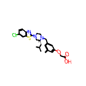 Cc1cc(CN2CCN(c3nc4ccc(Cl)cc4s3)C[C@H]2CC(C)C)cc(OCC(=O)O)c1